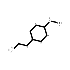 CCCC1CCC(SO)CC1